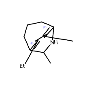 CC/C1=C2/CCC/C(=C(\C)CC1)NC2C